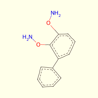 NOc1cccc(-c2ccccc2)c1ON